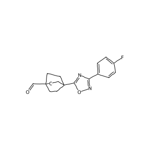 O=CC12CCC(c3nc(-c4ccc(F)cc4)no3)(CC1)CC2